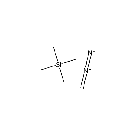 C=[N+]=[N-].C[Si](C)(C)C